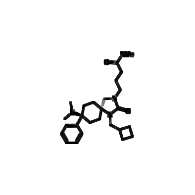 CNC(=O)CCCN1C[C@]2(CC[C@](c3ccccc3)(N(C)C)CC2)N(CC2CCC2)C1=O